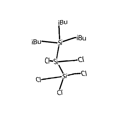 CCC(C)[Si](C(C)CC)(C(C)CC)[Si](Cl)(Cl)[Si](Cl)(Cl)Cl